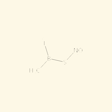 CB(I)SN=O